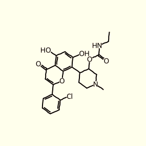 CCNC(=O)OC1CN(C)CCC1c1c(O)cc(O)c2c(=O)cc(-c3ccccc3Cl)oc12